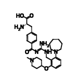 CN1CCC(Oc2cccc(N3CCCCCC3)c2CN/C(N)=N/C(=O)c2ccc(C[C@H](N)C(=O)O)cc2)CC1